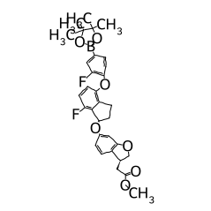 COC(=O)C[C@@H]1COc2cc(O[C@@H]3CCc4c(Oc5ccc(B6OC(C)(C)C(C)(C)O6)cc5F)ccc(F)c43)ccc21